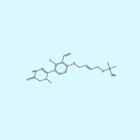 C=Cc1c(OCC=CCO[Si](C)(C)C(C)(C)C)ccc(C2=NNC(=O)CC2C)c1F